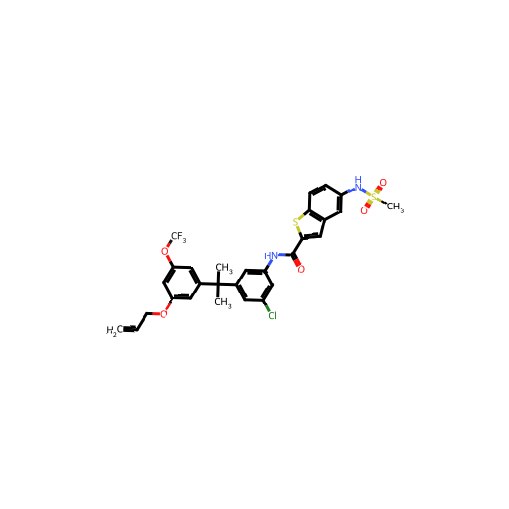 C=CCOc1cc(OC(F)(F)F)cc(C(C)(C)c2cc(Cl)cc(NC(=O)c3cc4cc(NS(C)(=O)=O)ccc4s3)c2)c1